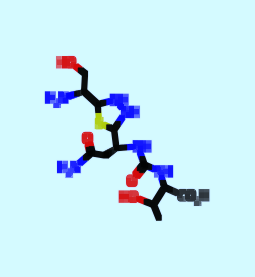 CC(O)C(NC(=O)N[C@@H](CC(N)=O)C1NNC([C@@H](N)CO)S1)C(=O)O